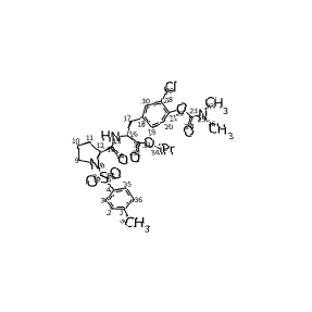 Cc1ccc(S(=O)(=O)N2CCC[C@H]2C(=O)N[C@@H](Cc2ccc(OC(=O)N(C)C)c(Cl)c2)C(=O)OC(C)C)cc1